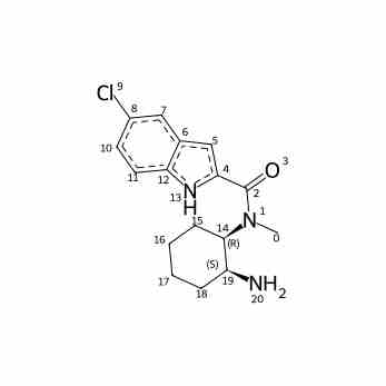 CN(C(=O)c1cc2cc(Cl)ccc2[nH]1)[C@@H]1CCCC[C@@H]1N